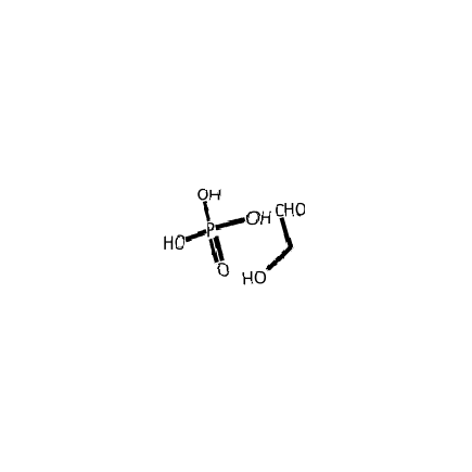 O=CCO.O=P(O)(O)O